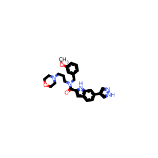 COc1cccc(CN(CCCN2CCOCC2)C(=O)c2cc3ccc(-c4cn[nH]c4)cc3[nH]2)c1